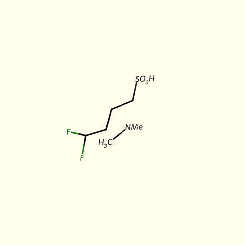 CNC.O=S(=O)(O)CCCC(F)F